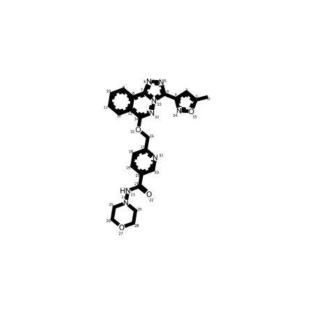 Cc1cc(-c2nnc3c4ccccc4c(OCc4ccc(C(=O)NN5CCOCC5)cn4)nn23)no1